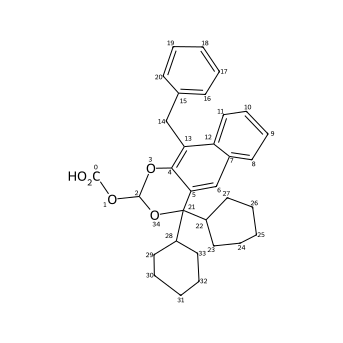 O=C(O)OC1Oc2c(cc3ccccc3c2Cc2ccccc2)C(C2CCCCC2)(C2CCCCC2)O1